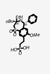 CCCC[C@]1(CC)CS(=O)(=O)c2cc(CCP(=O)(O)O)c(OC)cc2[C@@H](c2ccccc2)N1